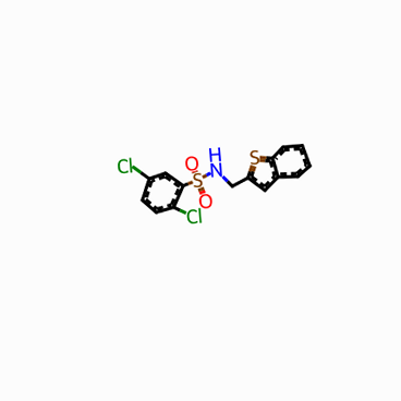 O=S(=O)(NCc1cc2ccccc2s1)c1cc(Cl)ccc1Cl